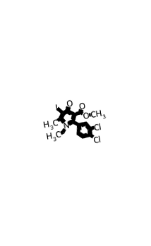 CCn1c(C)c(I)c(=O)c(C(=O)OC)c1-c1ccc(Cl)c(Cl)c1